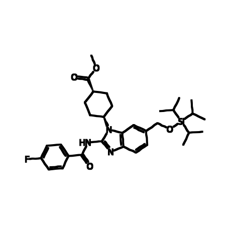 COC(=O)[C@H]1CC[C@@H](n2c(NC(=O)c3ccc(F)cc3)nc3ccc(CO[Si](C(C)C)(C(C)C)C(C)C)cc32)CC1